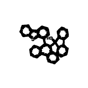 OC1(c2c(-c3cccc4c3oc3ccccc34)c3ccccc3c3ccccc23)c2ccccc2-c2ccccc21